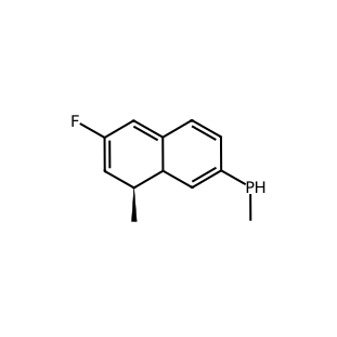 CPC1=CC2C(=CC(F)=C[C@@H]2C)C=C1